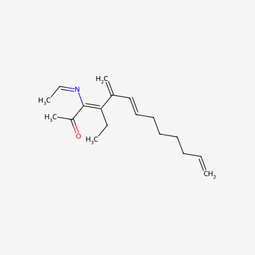 C=CCCCC/C=C/C(=C)/C(CC)=C(\N=C/C)C(C)=O